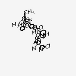 CCCOC(=O)[C@H](C)NP(=O)(Oc1ccccc1)[C@@H](F)c1ccc2sc(C(=O)N[C@H]3CCC[C@H]4CC[C@@H](C(=O)N5C[C@H](c6cncc(Cl)c6)[C@@H](C#N)C56CC6)N4C3=O)cc2c1